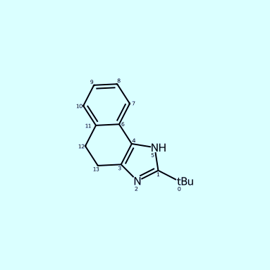 CC(C)(C)c1nc2c([nH]1)-c1ccccc1CC2